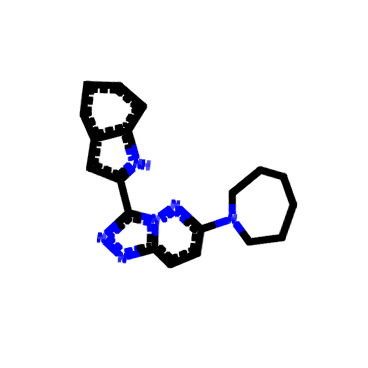 c1ccc2[nH]c(-c3nnc4ccc(N5CCCCCC5)nn34)cc2c1